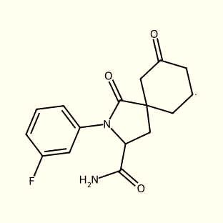 NC(=O)C1CC2(C[CH]CC(=O)C2)C(=O)N1c1cccc(F)c1